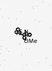 COc1ccc2c(/C=C3\Sc4cccc5c4N3CCC5)cc(N(C)C)[n+](-c3ccccc3)c2c1